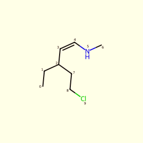 CCC(/C=C\NC)CCCl